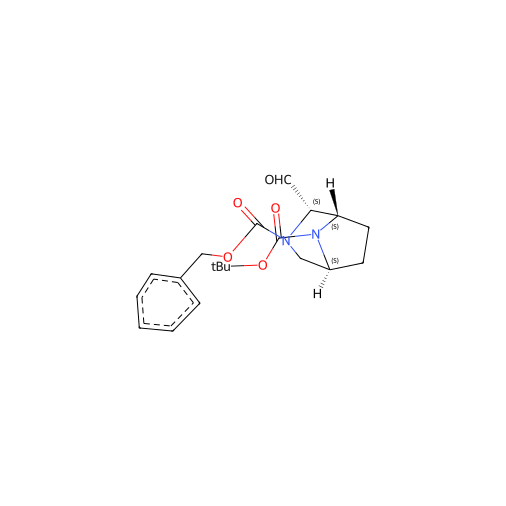 CC(C)(C)OC(=O)N1[C@H]2CC[C@H]1[C@@H](C=O)N(C(=O)OCc1ccccc1)C2